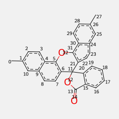 Cc1ccc2c3c(ccc2c1)C1(OC(=O)c2ccccc21)c1ccc2cc(C)ccc2c1O3